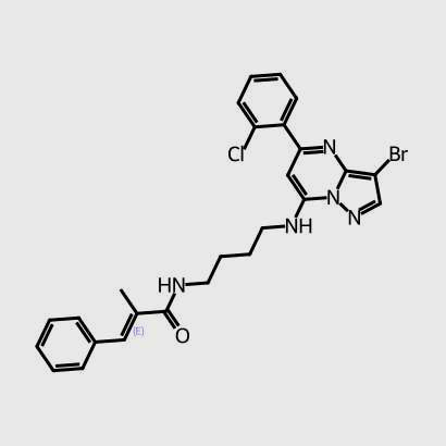 C/C(=C\c1ccccc1)C(=O)NCCCCNc1cc(-c2ccccc2Cl)nc2c(Br)cnn12